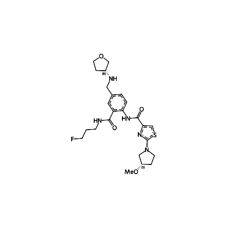 CO[C@H]1CCN(c2nc(C(=O)Nc3ccc(CN[C@@H]4CCOC4)cc3C(=O)NCCCF)cs2)C1